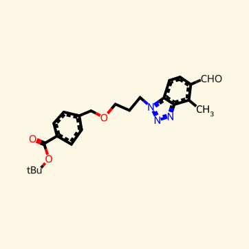 Cc1c(C=O)ccc2c1nnn2CCCOCc1ccc(C(=O)OC(C)(C)C)cc1